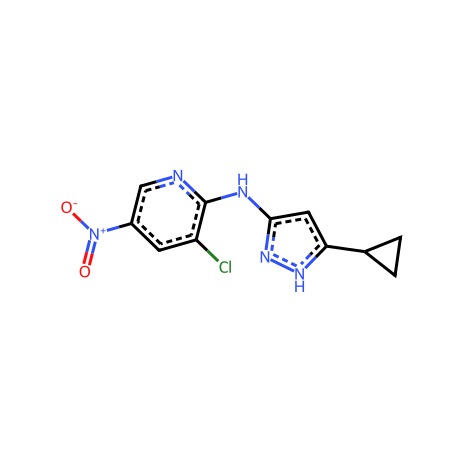 O=[N+]([O-])c1cnc(Nc2cc(C3CC3)[nH]n2)c(Cl)c1